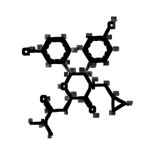 CN(C)C(=O)C[C@H]1O[C@H](c2cccc(Cl)c2)[C@H](c2ccc(Cl)cc2)N(CC2CC2)C1=O